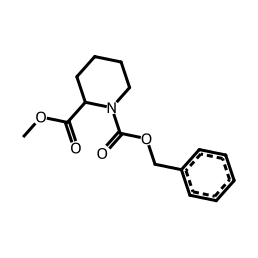 COC(=O)C1CCCCN1C(=O)OCc1ccccc1